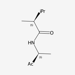 CC(=O)[C@H](C)NC(=O)[C@@H](C)C(C)C